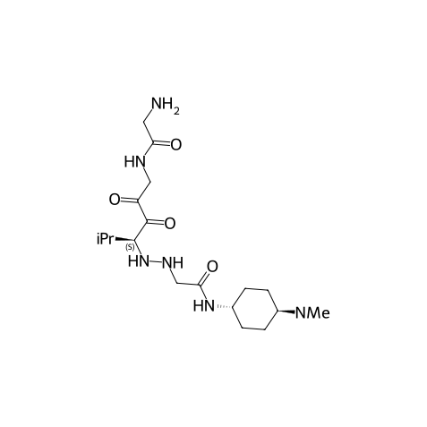 CN[C@H]1CC[C@H](NC(=O)CNN[C@H](C(=O)C(=O)CNC(=O)CN)C(C)C)CC1